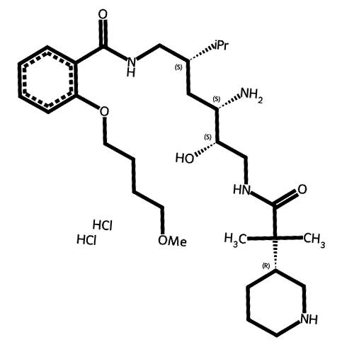 COCCCCOc1ccccc1C(=O)NC[C@@H](C[C@H](N)[C@@H](O)CNC(=O)C(C)(C)[C@H]1CCCNC1)C(C)C.Cl.Cl